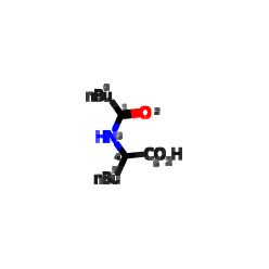 CCCCC(=O)NC(CCCC)C(=O)O